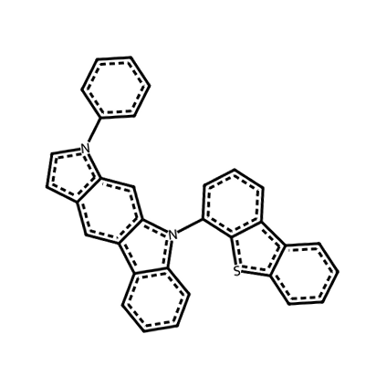 c1ccc(-n2ccc3cc4c5ccccc5n(-c5cccc6c5sc5ccccc56)c4cc32)cc1